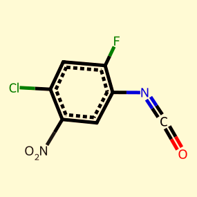 O=C=Nc1cc([N+](=O)[O-])c(Cl)cc1F